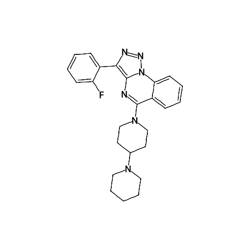 Fc1ccccc1-c1nnn2c1nc(N1CCC(N3CCCCC3)CC1)c1ccccc12